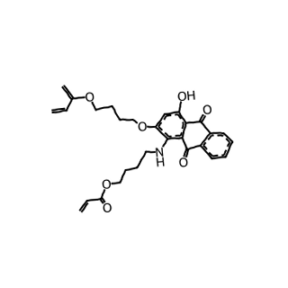 C=CC(=C)OCCCCOc1cc(O)c2c(c1NCCCCOC(=O)C=C)C(=O)c1ccccc1C2=O